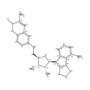 CC1Cc2ccc(OC[C@H]3C[C@@H](n4c5c(c6c(N)ncnc64)CCC5)[C@H](O)[C@@H]3O)cc2N=C1N